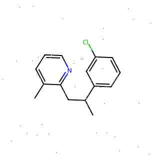 Cc1cccnc1CC(C)c1cccc(Cl)c1